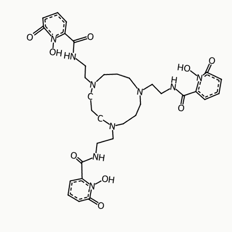 O=C(NCCN1CCCN(CCNC(=O)c2cccc(=O)n2O)CCCN(CCNC(=O)c2cccc(=O)n2O)CCC1)c1cccc(=O)n1O